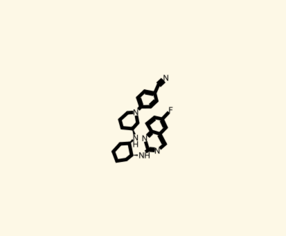 N#Cc1ccc(N2CCC[C@H](N[C@@H]3CCCC[C@H]3Nc3ncc4cc(F)ccc4n3)C2)cc1